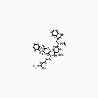 CCCC[C@H](NC(=O)[C@@H](N)Cc1c[nH]c2ccccc12)C(=O)N[C@@H](CCCNC(=N)N)C(=O)N[C@@H](Cc1ccccc1)C(N)=O